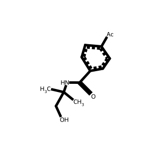 CC(=O)c1ccc(C(=O)NC(C)(C)CO)cc1